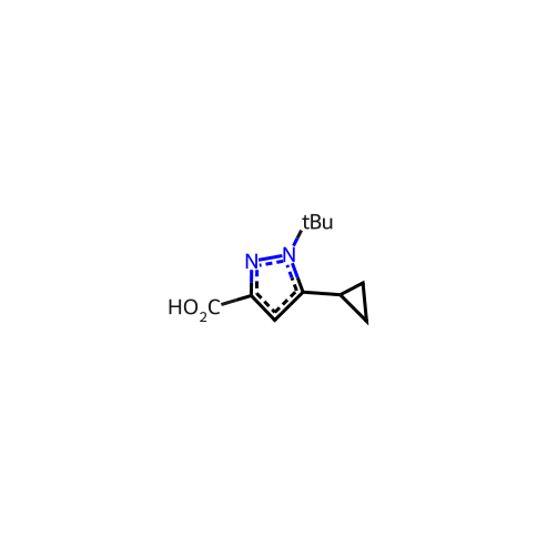 CC(C)(C)n1nc(C(=O)O)cc1C1CC1